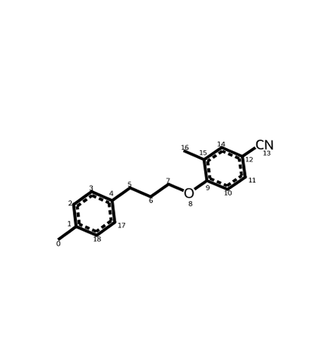 Cc1ccc(CCCOc2ccc(C#N)cc2C)cc1